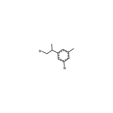 [CH2]C(CBr)c1cc(C)cc(Br)c1